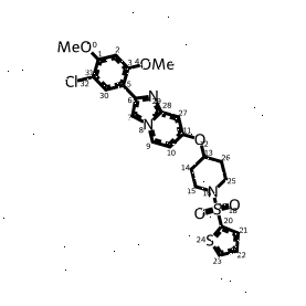 COc1cc(OC)c(-c2cn3ccc(OC4CCN(S(=O)(=O)c5cccs5)CC4)cc3n2)cc1Cl